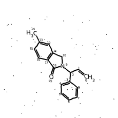 C=CC(c1ccccc1)N1Cc2cc(C)ccc2C1=O